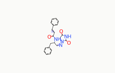 O=C(/C=C/c1ccccc1)NC(/C=N\N1CC(=O)NC1=O)Cc1ccccc1